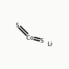 [Li].[S]=[Co]=[S]